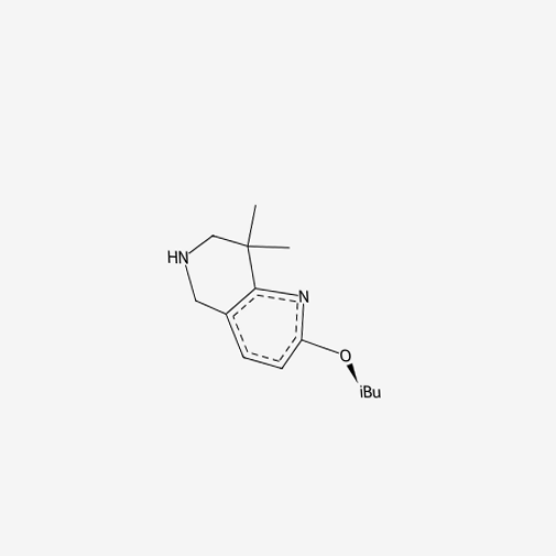 CC[C@H](C)Oc1ccc2c(n1)C(C)(C)CNC2